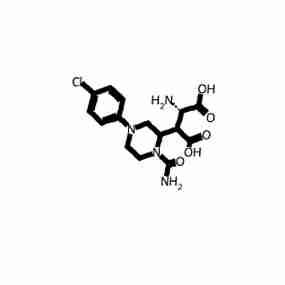 NC(=O)N1CCN(c2ccc(Cl)cc2)CC1C(C(=O)O)[C@H](N)C(=O)O